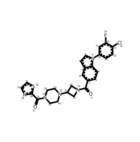 O=C(c1ccc2c(ccn2-c2ccc(Cl)c(F)c2)c1)N1CC(N2CCN(C(=O)c3nccs3)CC2)C1